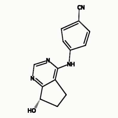 N#Cc1ccc(Nc2ncnc3c2CC[C@@H]3O)cc1